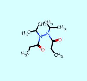 CCC(=O)N(C(C)C)N(C(=O)CC)C(C)C